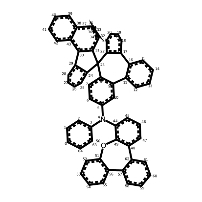 c1ccc(N(c2ccc3c(c2)-c2ccccc2-c2ccccc2C32c3ccccc3-c3c2c2ccccc2c2ccccc32)c2cccc3c2Oc2ccccc2-c2ccccc2-3)cc1